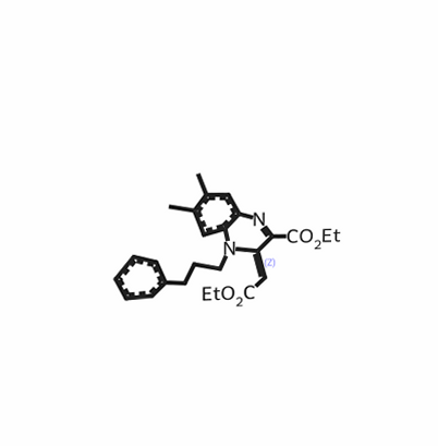 CCOC(=O)/C=C1/C(C(=O)OCC)=Nc2cc(C)c(C)cc2N1CCCc1ccccc1